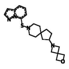 c1cc(SN2CCC3(CCC(N4CC5(COC5)C4)C3)CC2)n2nccc2c1